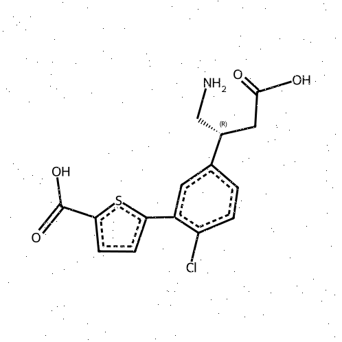 NC[C@H](CC(=O)O)c1ccc(Cl)c(-c2ccc(C(=O)O)s2)c1